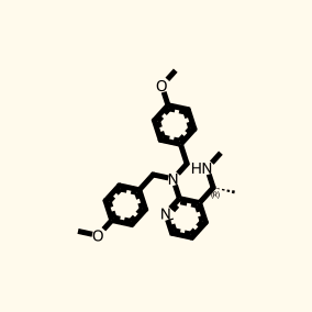 CN[C@H](C)c1cccnc1N(Cc1ccc(OC)cc1)Cc1ccc(OC)cc1